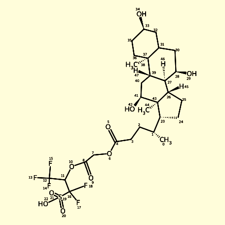 C[C@H](CCC(=O)OCC(=O)OC(C(F)(F)F)C(F)(F)S(=O)(=O)O)[C@H]1CC[C@H]2[C@@H]3[C@H](O)CC4C[C@H](O)CC[C@]4(C)[C@H]3C[C@H](O)[C@]12C